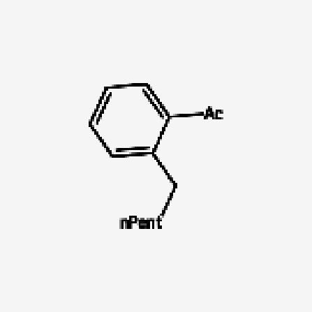 CCCCCCc1ccccc1C(C)=O